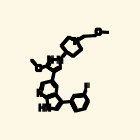 COCCN1CCC(n2cc(-c3cnc4[nH]cc(-c5cccc(F)c5)c4c3)c(OC)n2)CC1